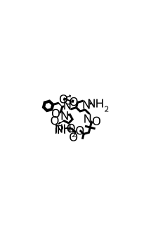 CC(C)OC(=O)OC(C)CC(C)(C)C(=O)N=CC1CC(CN([C@H](Cc2ccccc2)C(=O)N2CCC[C@H]2C(N)=O)S(C)(=O)=O)CCN1N